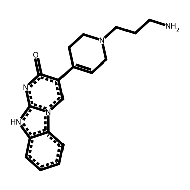 NCCCN1CC=C(c2cn3c(nc2=O)[nH]c2ccccc23)CC1